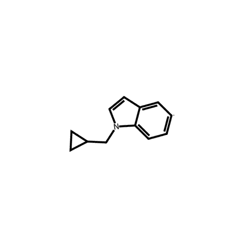 [c]1ccc2c(c1)ccn2CC1CC1